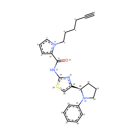 C#CCCCCn1cccc1C(=O)Nc1nc([C@H]2CCCN2c2ccccc2)cs1